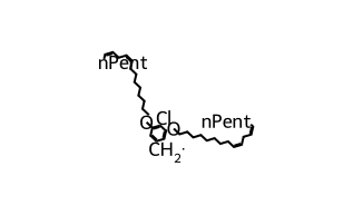 [CH2]c1cc(OCCCCCCCC/C=C\C/C=C\CCCCC)c(Cl)c(OCCCCCCCC/C=C\C/C=C\CCCCC)c1